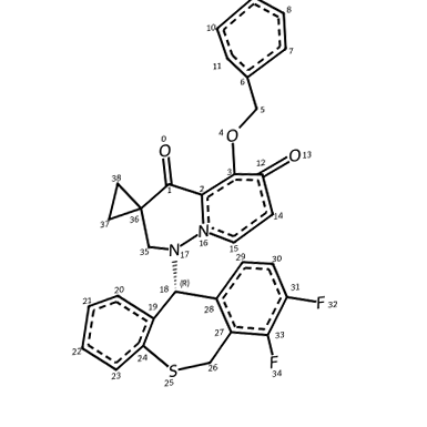 O=C1c2c(OCc3ccccc3)c(=O)ccn2N([C@H]2c3ccccc3SCc3c2ccc(F)c3F)CC12CC2